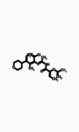 C=C(C)O/C(=C\C)C(=O)N/C(C)=N/C(C(=C)CC)=C(C)/C(=C\C)C1CCOCC1